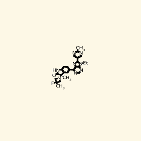 CCn1c(-c2cnc(C)nc2)nc2c(-c3ccc4c(c3)[C@@](C)(N3CC(C)(F)C3)C(=O)N4)ncnc21